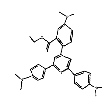 CCOC(=O)c1cc(N(C)C)ccc1-c1cc(-c2ccc(N(C)C)cc2)nc(-c2ccc(N(C)C)cc2)c1